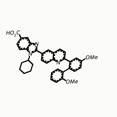 COc1ccc(-c2ccccc2OC)c(-c2ccc3cc(-c4nc5cc(C(=O)O)ccc5n4C4CCCCC4)ccc3n2)c1